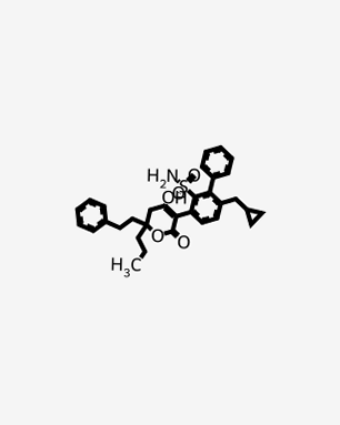 CCCC1(CCc2ccccc2)CC(O)=C(c2ccc(CC3CC3)c(-c3ccccc3)c2S(N)(=O)=O)C(=O)O1